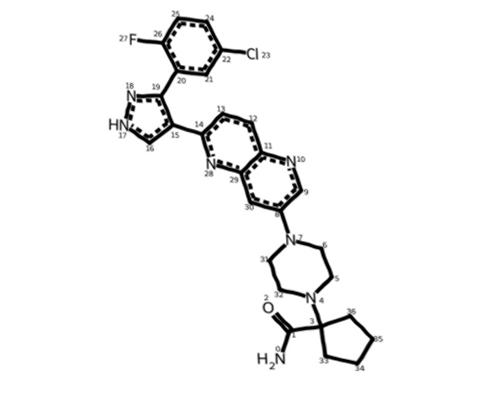 NC(=O)C1(N2CCN(c3cnc4ccc(-c5c[nH]nc5-c5cc(Cl)ccc5F)nc4c3)CC2)CCCC1